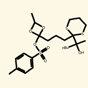 CCCCC(C)(O)C1(CCCC2(OS(=O)(=O)c3ccc(C)cc3)OC(C)O2)SCCCS1